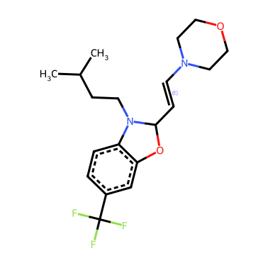 CC(C)CCN1c2ccc(C(F)(F)F)cc2OC1/C=C/N1CCOCC1